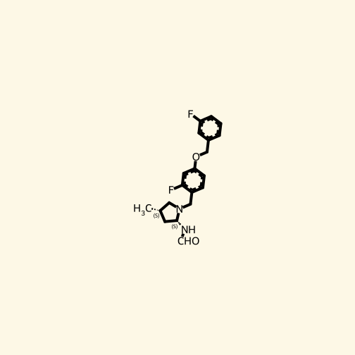 C[C@H]1C[C@@H](NC=O)N(Cc2ccc(OCc3cccc(F)c3)cc2F)C1